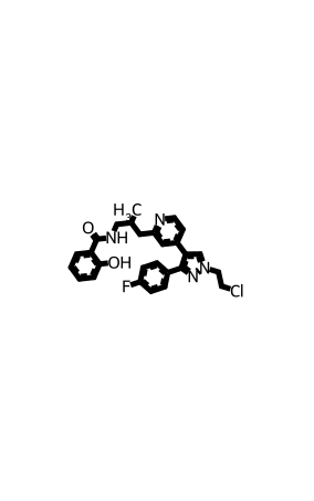 CC(CNC(=O)c1ccccc1O)Cc1cc(-c2cn(CCCl)nc2-c2ccc(F)cc2)ccn1